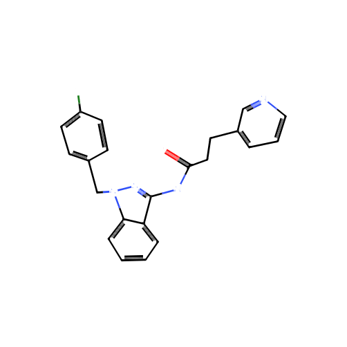 O=C(CCc1cccnc1)Nc1nn(Cc2ccc(Cl)cc2)c2ccccc12